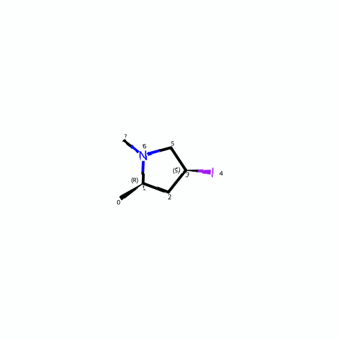 C[C@@H]1C[C@H](I)CN1C